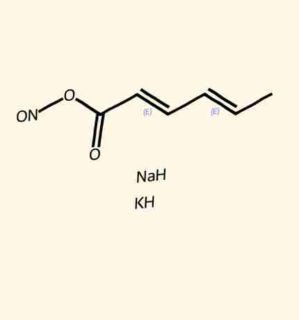 C/C=C/C=C/C(=O)ON=O.[KH].[NaH]